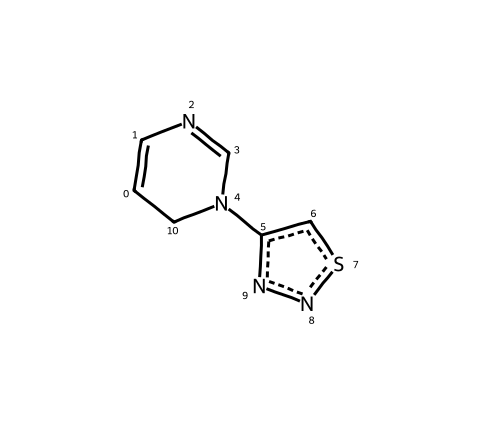 C1=CN=CN(c2csnn2)C1